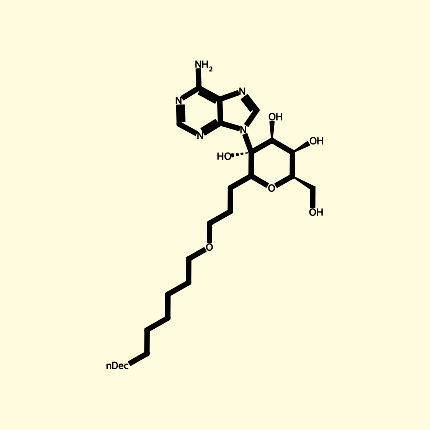 CCCCCCCCCCCCCCCCOCCC[C]1O[C@H](CO)[C@H](O)[C@H](O)[C@]1(O)n1cnc2c(N)ncnc21